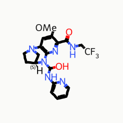 COc1cc2c(nc1C(=O)NCC(F)(F)F)N(C(O)Nc1ccccn1)[C@H]1CCN2C1